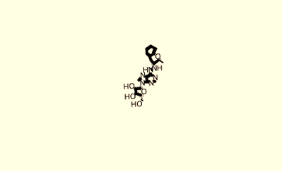 C[C@@H]1Oc2ccccc2C[C@@H]1NNc1ncnc2c1ncn2[C@@H]1O[C@H](CO)[C@@H](O)[C@H]1O